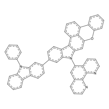 c1ccc(-n2c3ccccc3c3ccc(-c4ccc5c6c7cccc8c7c(cc6n(-c6cc7cccnc7c7ncccc67)c5c4)Oc4ccccc4-8)cc32)cc1